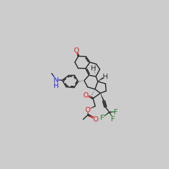 CNc1ccc([C@H]2C[C@@]3(C)[C@@H](CC[C@]3(C#CC(F)(F)F)C(=O)COC(C)=O)[C@@H]3CCC4=CC(=O)CCC4=C32)cc1